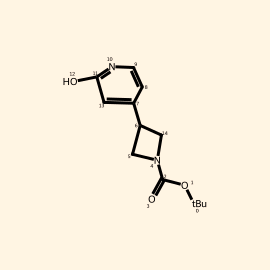 CC(C)(C)OC(=O)N1CC(c2ccnc(O)c2)C1